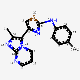 CC(=O)c1ccc(Nc2nc(-c3c(C)nc4ncccn34)cs2)cc1